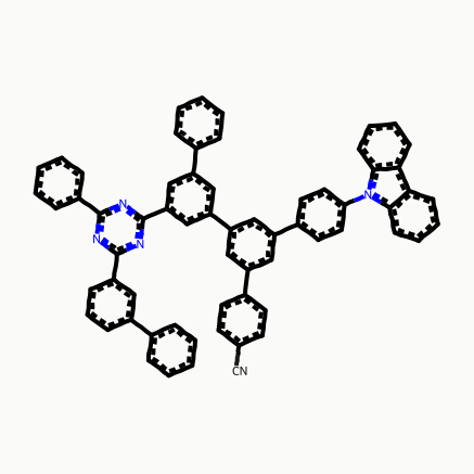 N#Cc1ccc(-c2cc(-c3ccc(-n4c5ccccc5c5ccccc54)cc3)cc(-c3cc(-c4ccccc4)cc(-c4nc(-c5ccccc5)nc(-c5cccc(-c6ccccc6)c5)n4)c3)c2)cc1